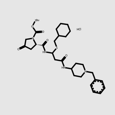 CC(C)(C)OC(=O)N1CC(=O)C[C@H]1C(=O)NC(CC(=O)NC1CCN(Cc2ccccc2)CC1)SCC1CCCCC1.Cl